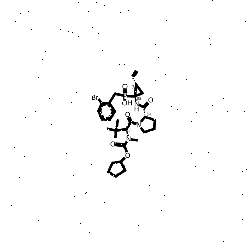 C=C[C@@H]1C[C@]1(NC(=O)[C@@H]1CCCN1C(=O)[C@@H](N(C)C(=O)OC1CCCC1)C(C)(C)C)P(=O)(O)Cc1ccccc1Br